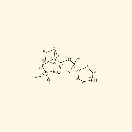 CC(C)(OC(=O)C1C2CC3CS(=O)(=O)C1C3C2)C1CCNCC1